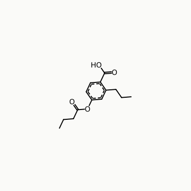 CCCC(=O)Oc1ccc(C(=O)O)c(CCC)c1